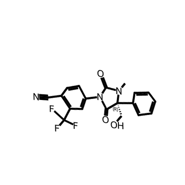 CN1C(=O)N(c2ccc(C#N)c(C(F)(F)F)c2)C(=O)[C@]1(CO)c1ccccc1